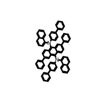 c1ccc(-c2ccc(N(c3cccc4ccccc34)c3c4ccc(-c5ccccc5)cc4c(N(c4ccc(-c5ccccc5)cc4)c4cccc5ccccc45)c4ccc(-c5ccccc5)cc34)cc2)cc1